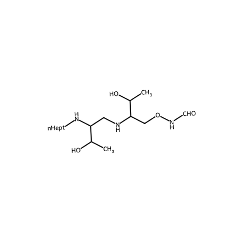 CCCCCCCNC(CNC(CONC=O)C(C)O)C(C)O